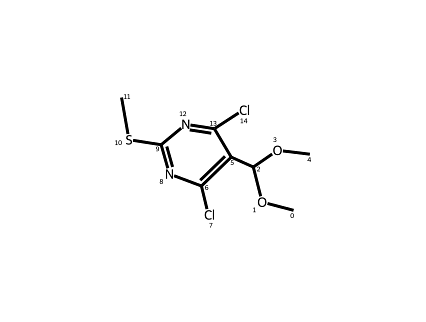 COC(OC)c1c(Cl)nc(SC)nc1Cl